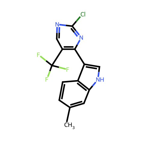 Cc1ccc2c(-c3nc(Cl)ncc3C(F)(F)F)c[nH]c2c1